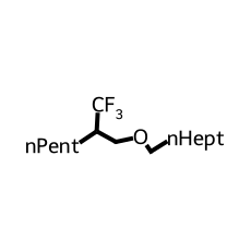 [CH2]CCCCCCCOCC(CCCCC)C(F)(F)F